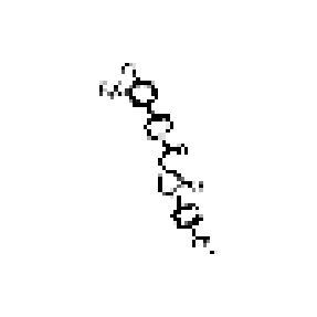 O=C(CN1CCN(c2ccc(C(F)(F)F)cn2)C(=O)C1)N1CC=C(c2ccc(Cl)c(C(F)(F)F)c2)CC1